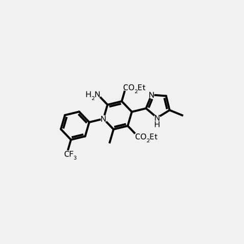 CCOC(=O)C1=C(C)N(c2cccc(C(F)(F)F)c2)C(N)=C(C(=O)OCC)C1c1ncc(C)[nH]1